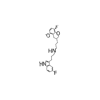 COc1ccc(F)c2c1CC(CCCNCCCc1c[nH]c3ccc(F)cc13)CO2